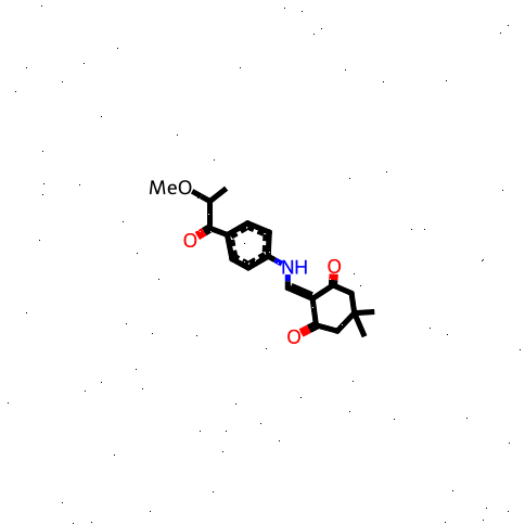 COC(C)C(=O)c1ccc(NC=C2C(=O)CC(C)(C)CC2=O)cc1